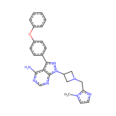 Cn1ccnc1CN1CC(n2nc(-c3ccc(Oc4ccccc4)cc3)c3c(N)ncnc32)C1